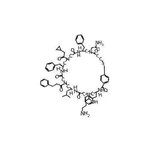 CC(C)C[C@H]1CN(C(=O)CCc2ccccc2)CC(=O)N[C@@H](Cc2ccccc2)CN(C(=O)CC2CC2)CC(=O)N[C@@H](Cc2ccccc2)CN(CC(N)=O)C(=O)CCSCc2ccc(cc2)C(=O)N[C@@H](Cc2ccccc2)CN(C(O)CCCN)CC(=O)N1